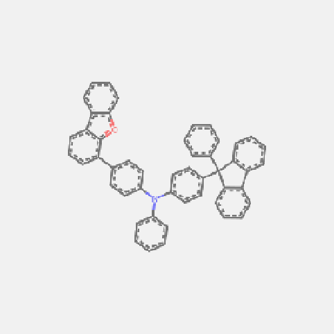 c1ccc(N(c2ccc(-c3cccc4c3oc3ccccc34)cc2)c2ccc(C3(c4ccccc4)c4ccccc4-c4ccccc43)cc2)cc1